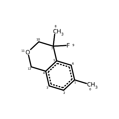 Cc1ccc2c(c1)C(C)(F)COC2